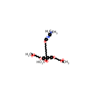 C=CC(=O)OCCCCCCOc1ccc(-c2cc(CCCCCCCCCCCCOc3ccc(N=Nc4ccc(N(C)C)cc4)cc3)c(-c3ccc(OCCCCCCOC(=O)C=C)cc3)c(C(=O)OC(=O)O)c2)cc1